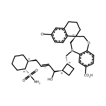 NS(=O)(=O)[C@@H]1CCCC[C@H]1C/C=C/C(O)[C@@H]1CC[C@H]1CN1C[C@@]2(CCCc3cc(Cl)ccc32)COc2ccc(C(=O)O)cc21